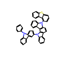 c1ccc(-n2c3ccccc3c3cc(-n4c5ccccc5c5ccc6c(c7ccccc7n6-c6cccc7sc8ccccc8c67)c54)ccc32)cc1